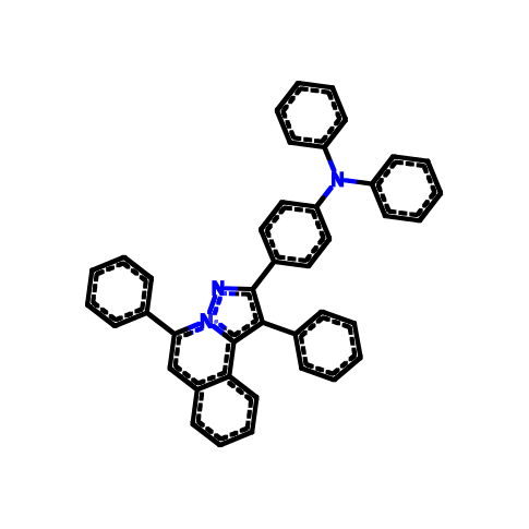 c1ccc(-c2c(-c3ccc(N(c4ccccc4)c4ccccc4)cc3)nn3c(-c4ccccc4)cc4ccccc4c23)cc1